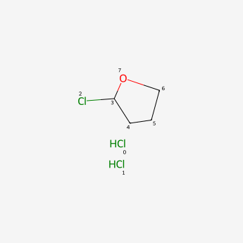 Cl.Cl.ClC1CCCO1